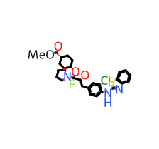 COC(=O)[C@H]1CC[C@H](OC(F)(C(=O)Cc2ccc(Nc3nc4ccccc4s3)c(Cl)c2)N2CCCC2)CC1